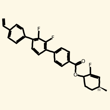 C=Cc1ccc(-c2ccc(-c3ccc(C(=O)OC4CC[C@H](C)C=C4F)cc3)c(F)c2F)cc1